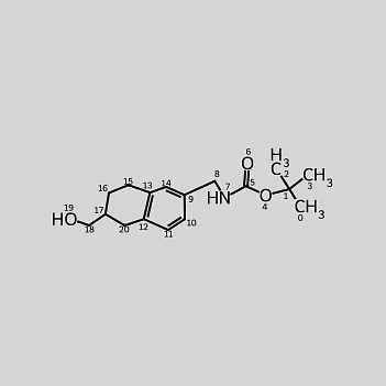 CC(C)(C)OC(=O)NCc1ccc2c(c1)CCC(CO)C2